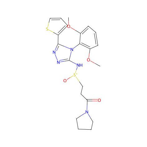 COc1cccc(OC)c1-n1c(N[S+]([O-])CCC(=O)N2CCCC2)nnc1-c1cccs1